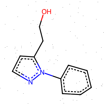 OCCc1ccnn1-c1ccccc1